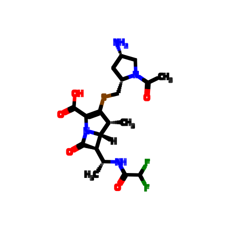 CC(=O)N1C[C@@H](N)C[C@H]1CSC1=C(C(=O)O)N2C(=O)[C@H]([C@@H](C)NC(=O)C(F)F)[C@H]2[C@H]1C